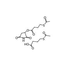 CC(=O)SCCCC(=O)O.CC(=O)SCCCC(=O)OC1CC(=O)NC1=O